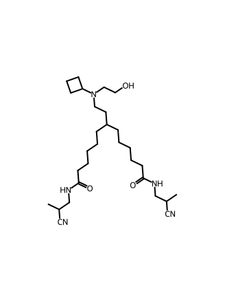 CC(C#N)CNC(=O)CCCCCC(CCCCCC(=O)NCC(C)C#N)CCN(CCO)C1CCC1